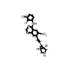 O=[N+]([O-])c1cc2c(Nc3cccc(Cl)c3F)ncnc2cc1C#C[C@H]1[C@H]2CNC[C@@H]12